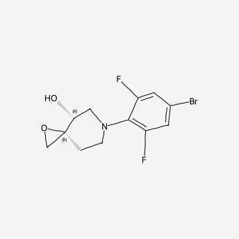 O[C@@H]1CN(c2c(F)cc(Br)cc2F)CC[C@@]12CO2